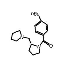 CCCCc1ccc(C(=O)N2CCC[C@H]2CN2CCCC2)cc1